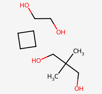 C1CCC1.CC(C)(CO)CO.OCCO